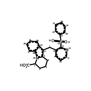 O=C(O)C1CCCc2c(Cc3cccnc3S(=O)(=O)c3ccccc3)c3ccccc3n21